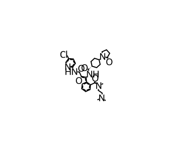 CN(C)CCN(C)C(=O)c1cccc2oc(C(=O)Nc3ccc(Cl)cn3)c(NC(=O)[C@H]3CC[C@H](N4CCCC4=O)CC3)c12